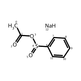 CC(=O)OS(=O)c1ccccc1.[NaH]